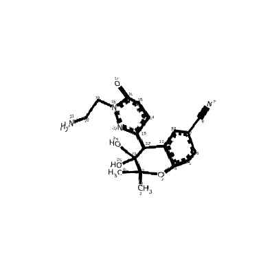 CC1(C)Oc2ccc(C#N)cc2C(c2ccc(=O)n(CCN)n2)C1(O)O